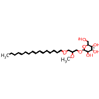 CCCCCCCCCCCCCCCCOCC(CO[C@@H]1OC(CO)[C@@H](O)[C@H](O)C1O)OC